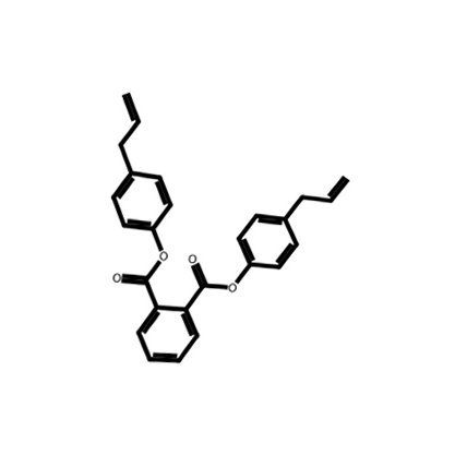 C=CCc1ccc(OC(=O)c2ccccc2C(=O)Oc2ccc(CC=C)cc2)cc1